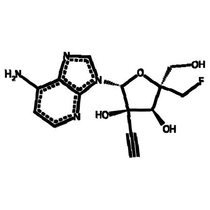 C#C[C@@]1(O)[C@H](O)[C@](CO)(CF)O[C@H]1n1cnc2c(N)ccnc21